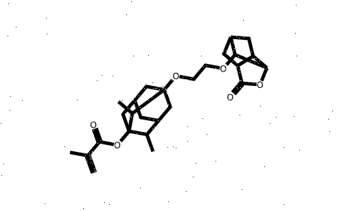 C=C(C)C(=O)OC12CC3CC(CC(OCCOC4C5CC6C(=O)OC4C6C5)(C3)C1C)C2C